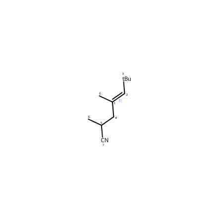 C/C(=C\C(C)(C)C)CC(C)C#N